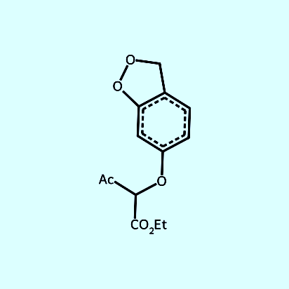 CCOC(=O)C(Oc1ccc2c(c1)OOC2)C(C)=O